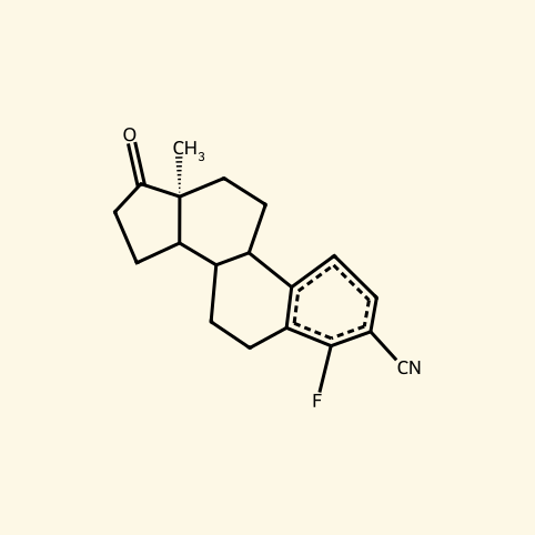 C[C@]12CCC3c4ccc(C#N)c(F)c4CCC3C1CCC2=O